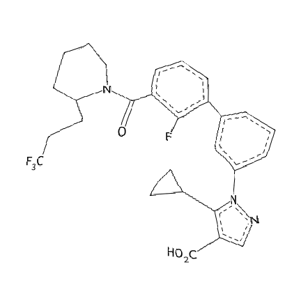 O=C(O)c1cnn(-c2cccc(-c3cccc(C(=O)N4CCCCC4CCC(F)(F)F)c3F)c2)c1C1CC1